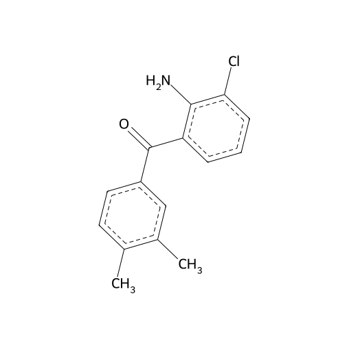 Cc1ccc(C(=O)c2cccc(Cl)c2N)cc1C